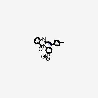 Cc1ccc(/C=C/c2nc3ccccc3c(=O)n2-c2cccc([N+](=O)[O-])c2)cc1